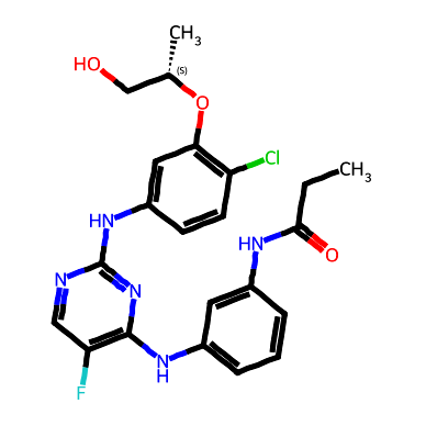 CCC(=O)Nc1cccc(Nc2nc(Nc3ccc(Cl)c(O[C@@H](C)CO)c3)ncc2F)c1